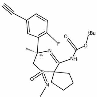 C#Cc1ccc(F)c([C@]2(C)CS(=O)(=NC)C3(CCCC3)C(NC(=O)OC(C)(C)C)=N2)c1